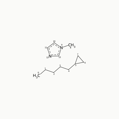 CCCCCC1CC1.Cn1ccnc1